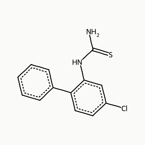 NC(=S)Nc1cc(Cl)ccc1-c1ccccc1